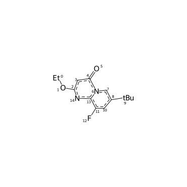 CCOc1cc(=O)n2cc(C(C)(C)C)cc(F)c2n1